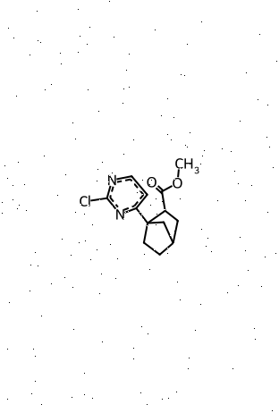 COC(=O)C1CC2CCC1(c1ccnc(Cl)n1)C2